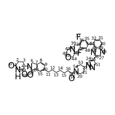 O=C1CCC(N2Cc3ccc(CCCCCCC(=O)N4CCC(n5cc(-c6cnc7cccc(-c8cc(F)c(CN9CCOCC9)c(F)c8)c7n6)cn5)CC4)cc3C2=O)C(=O)N1